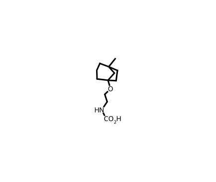 CC12CCCC(OCCNC(=O)O)(CC1)C2